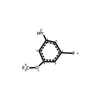 CCCc1cc(F)cc(OC(F)(F)F)c1